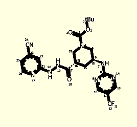 CC(C)(C)OC(=O)N1C[C@@H](Nc2ncc(C(F)(F)F)cn2)C[C@H](C(=O)NNc2cc(C#N)ccn2)C1